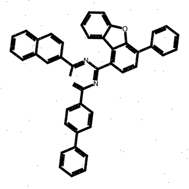 C=C(/N=C(\N=C(/C)c1ccc2ccccc2c1)c1ccc(-c2ccccc2)c2oc3ccccc3c12)c1ccc(-c2ccccc2)cc1